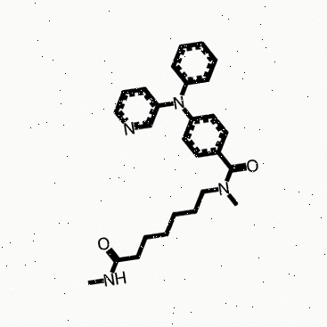 CNC(=O)CCCCCCN(C)C(=O)c1ccc(N(c2ccccc2)c2cccnc2)cc1